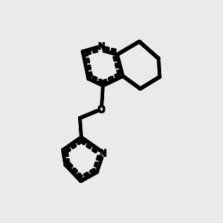 c1ccc(COc2ccnc3c2CCCC3)nc1